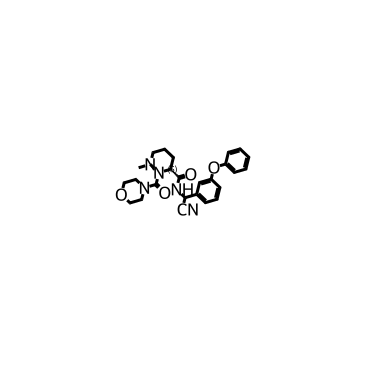 CN1CCC[C@@H](C(=O)NC(C#N)c2cccc(Oc3ccccc3)c2)N1C(=O)N1CCOCC1